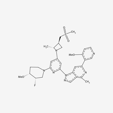 COc1ccncc1-c1cc2c(cnn2-c2cc(N3C[C@H](CS(C)(=O)=O)[C@H]3C)cc(N3CC[C@@H](OC)[C@@H](F)C3)n2)c(C)n1